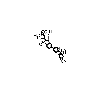 CN(C[C@@H]1OC(=O)N2c3ccc(-c4ccc(C5(C#N)[C@@H]6CN(C#N)C[C@@H]65)nc4)cc3C[C@@H]12)C(=O)O